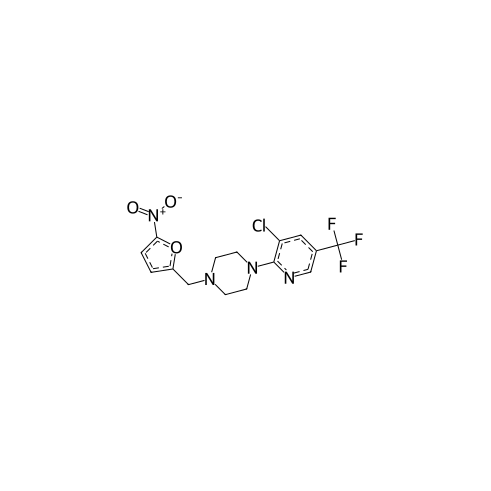 O=[N+]([O-])c1ccc(CN2CCN(c3ncc(C(F)(F)F)cc3Cl)CC2)o1